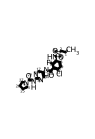 CCCS(=O)(=O)Nc1ccc(Cl)c(C(=O)Nc2cnc(NC(=O)N3CCCC3)nc2)c1F